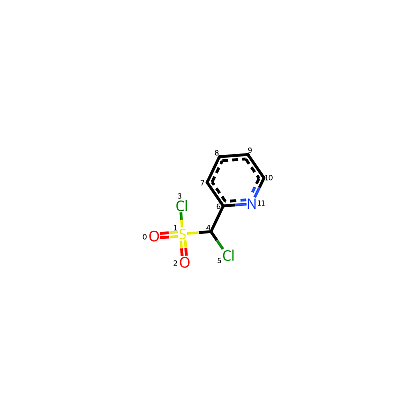 O=S(=O)(Cl)C(Cl)c1ccccn1